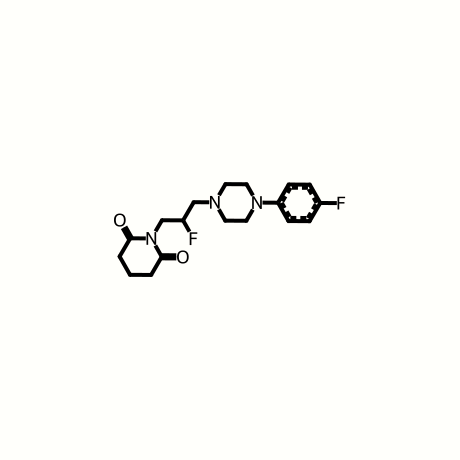 O=C1CCCC(=O)N1CC(F)CN1CCN(c2ccc(F)cc2)CC1